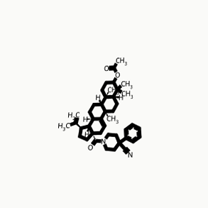 C=C(C)[C@@H]1CC[C@]2(C(=O)N3CCC(C#N)(c4ccccc4)CC3)CC=C3[C@H](CC[C@@H]4[C@@]5(C)CCC(OC(C)=O)C(C)(C)[C@@H]5CC[C@@]34C)[C@@H]12